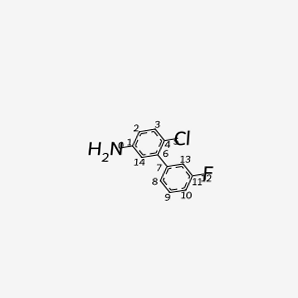 Nc1ccc(Cl)c(-c2cccc(F)c2)c1